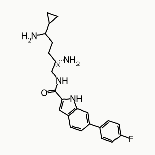 NC(CC[C@H](N)CNC(=O)c1cc2ccc(-c3ccc(F)cc3)cc2[nH]1)C1CC1